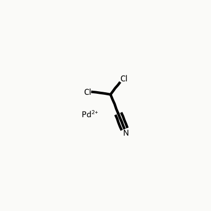 N#CC(Cl)Cl.[Pd+2]